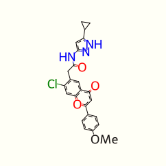 COc1ccc(-c2cc(=O)c3cc(CC(=O)Nc4cc(C5CC5)[nH]n4)c(Cl)cc3o2)cc1